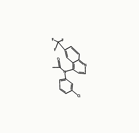 CC(=O)N(c1cccc(Cl)c1)c1ccnc2ccc(C(F)(F)F)cc12